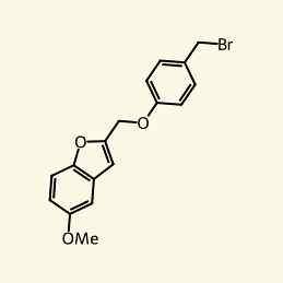 COc1ccc2oc(COc3ccc(CBr)cc3)cc2c1